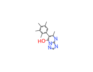 Cc1cc(-c2c(C)nc3ncnn3c2O)c(C)c(C)c1C